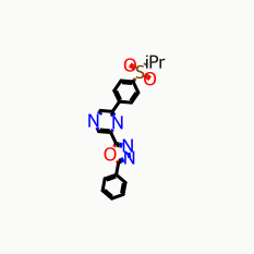 CC(C)S(=O)(=O)c1ccc(-c2cncc(-c3nnc(-c4ccccc4)o3)n2)cc1